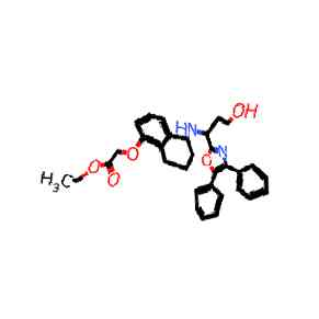 CCOC(=O)COc1cccc2c1CCCC2NC(CCO)c1nc(-c2ccccc2)c(-c2ccccc2)o1